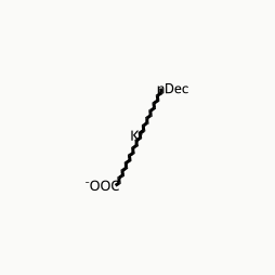 CCCCCCCCCCCCCCCCCCCCCCCCCCCCCCCCCCCC(=O)[O-].[K+]